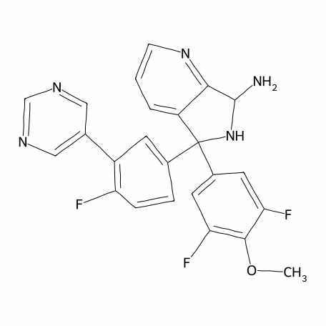 COc1c(F)cc(C2(c3ccc(F)c(-c4cncnc4)c3)NC(N)c3ncccc32)cc1F